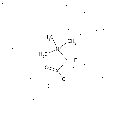 C[N+](C)(C)C(F)C(=O)[O-]